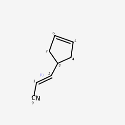 N#C/C=C/C1CC=CC1